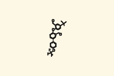 CC(C)(C)c1ccc(Oc2ccc(-c3ccc(OC(F)(F)F)cc3)cc2C=O)c(C=O)c1